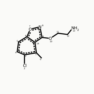 Cc1c(Cl)ccc2onc(OCCN)c12